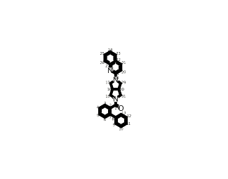 O=C(c1ccccc1-c1ccccc1)N1CC2CN(c3ccc4ccccc4n3)CC2C1